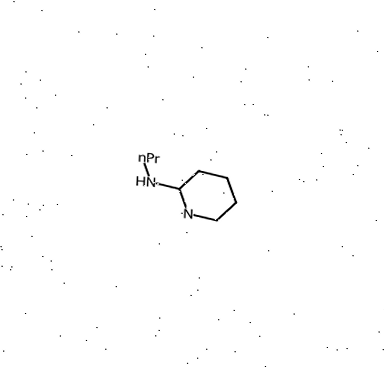 CCCNC1CCCC[N]1